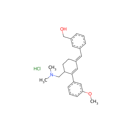 COc1cccc(C2=C/C(=C/c3cccc(CO)c3)CCC2CN(C)C)c1.Cl